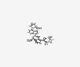 CNc1cc(-c2cnc3n([C@@H]4COC[C@H]4O)cccc2-3)nc2c(C(=O)N[C@H]3CC[C@H]3O)cnn12